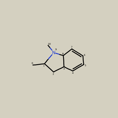 CC1CC2C=CC=CC2N1C